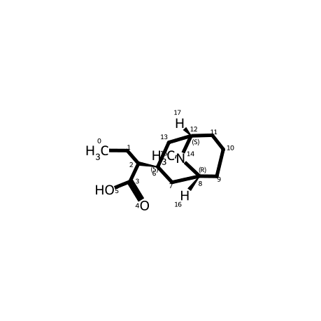 CCC(C(=O)O)[C@@H]1C[C@H]2CCC[C@@H](C1)N2C